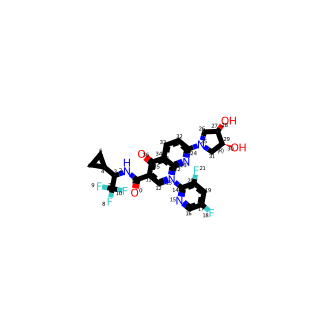 O=C(NC(C1CC1)C(F)(F)F)c1cn(-c2ncc(F)cc2F)c2nc(N3CC(O)[C@H](O)C3)ccc2c1=O